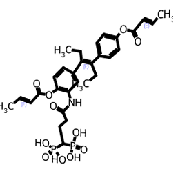 C/C=C/C(=O)Oc1ccc(/C(CC)=C(\CC)c2ccc(OC(=O)/C=C/C)c(NC(=O)CCC(P(=O)(O)O)P(=O)(O)O)c2)cc1